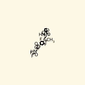 CCN(CCN(NC)C(=O)c1ccco1)c1c(F)cc(N2C[C@H](CNC(=O)C(F)F)OC2=O)cc1F